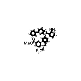 COC(=O)[C@H]1CC[C@@H](N(Cc2ccc(-n3c(-c4cccnc4N)nc4ccc(-c5ccccc5)nc43)cc2)CC(F)(F)F)CC1